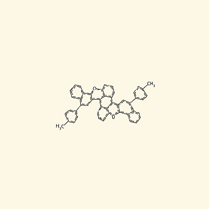 Cc1ccc(-c2cc3c(oc4cccc5c4c3c3cccc4oc6c7ccccc7c(-c7ccc(C)cc7)cc6c5c43)c3ccccc23)cc1